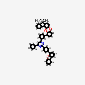 CC1(C)c2ccccc2-c2c1ccc1c2Oc2c(cccc2-c2cccc(-c3cc(-c4ccccc4)nc(-c4ccc(-c5cccc6c5oc5ccccc56)cc4)n3)c2)O1